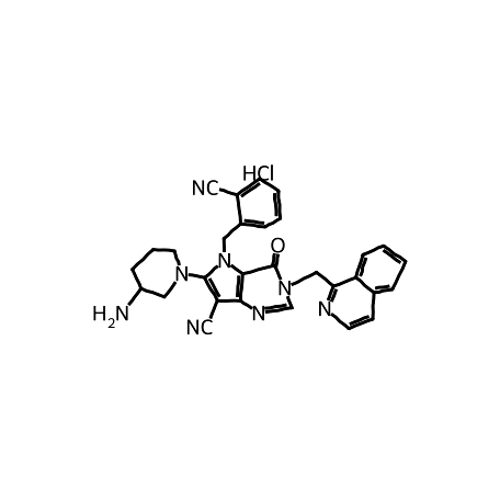 Cl.N#Cc1ccccc1Cn1c(N2CCCC(N)C2)c(C#N)c2ncn(Cc3nccc4ccccc34)c(=O)c21